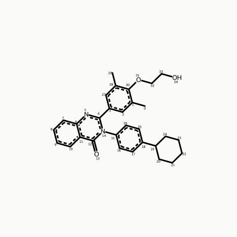 Cc1cc(-c2nc3ccccc3c(=O)n2-c2ccc(C3CCCCC3)cc2)cc(C)c1OCCO